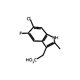 Cc1[nH]c2cc(Cl)c(F)cc2c1CC(=O)O